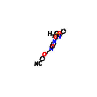 CS(=O)(=O)N(CCN1CC2CN(CCCOc3ccc(C#N)cc3)CC(C1)O2)Cc1ccccc1